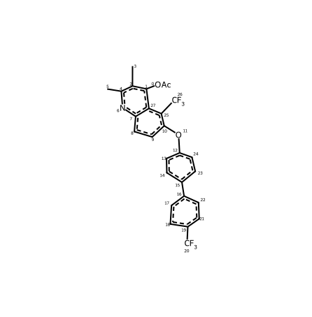 CC(=O)Oc1c(C)c(C)nc2ccc(Oc3ccc(-c4ccc(C(F)(F)F)cc4)cc3)c(C(F)(F)F)c12